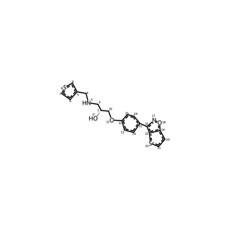 O[C@H](CNCc1ccsc1)COc1ccc(-c2noc3ccsc23)cc1